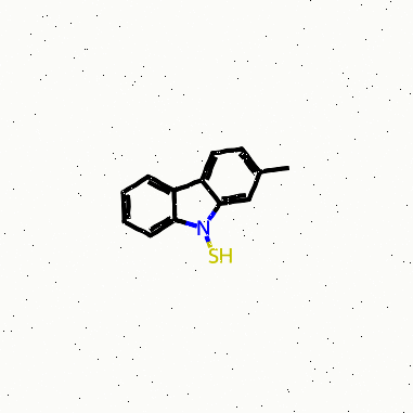 Cc1ccc2c3ccccc3n(S)c2c1